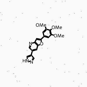 COc1cc(-c2cc3ncc(-c4cn[nH]c4)cc3o2)cc(OC)c1OC